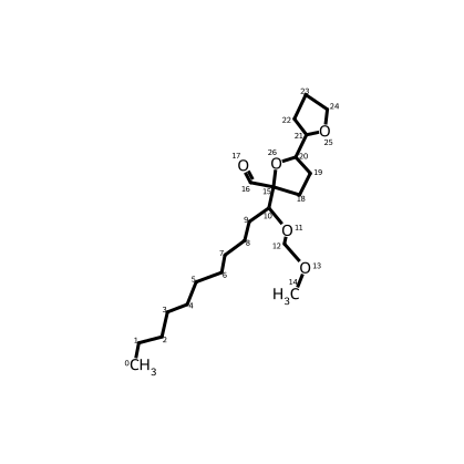 CCCCCCCCCCC(OCOC)C1(C=O)CCC(C2CCCO2)O1